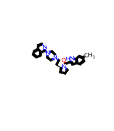 Cc1ccc2cc(C(=O)N3CCC[C@H]3CCN3CCN(c4nccc5ccccc45)CC3)[nH]c2c1